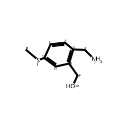 CSc1ccc(CN)c(CO)c1